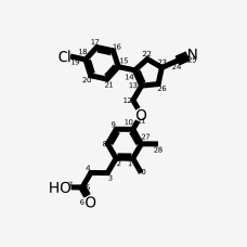 Cc1c(CCC(=O)O)ccc(OCC2=C(c3ccc(Cl)cc3)CC(C#N)C2)c1C